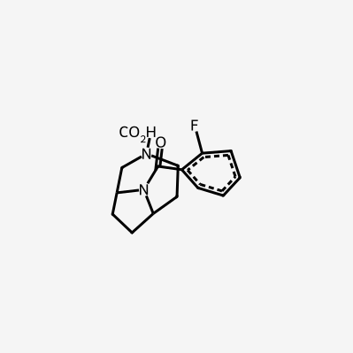 O=C(O)N1CCC2CCC(C1)N2C(=O)c1ccccc1F